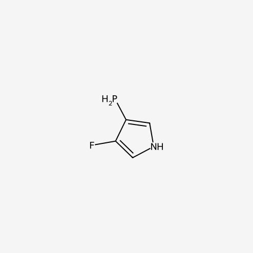 Fc1c[nH]cc1P